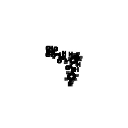 CN(C)C(=O)CCC(=O)NC[C@H]1[C@H](C(=O)Nc2ccc(Br)cc2)[C@@H]2C=C[C@H]1C21CC1